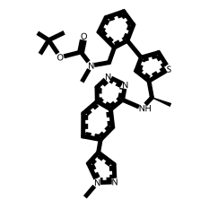 C[C@@H](Nc1nncc2ccc(-c3cnn(C)c3)cc12)c1cc(-c2ccccc2CN(C)C(=O)OC(C)(C)C)cs1